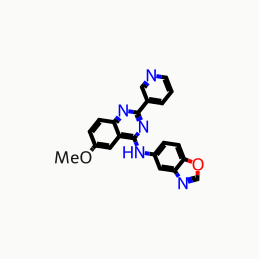 COc1ccc2nc(-c3cccnc3)nc(Nc3ccc4ocnc4c3)c2c1